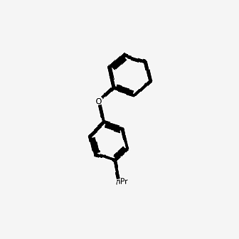 CCCc1ccc(OC2=CCCC=C2)cc1